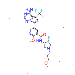 COCCCN1CC(F)C(NC(=O)c2cc(-c3cc(C(F)(F)F)c4c(N)ncnn34)cnc2OC)C1